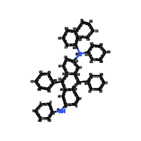 c1ccc(Nc2ccc3c(-c4ccccc4)c4cc(N(c5ccccc5)c5cccc6ccccc56)ccc4c(-c4ccccc4)c3c2)cc1